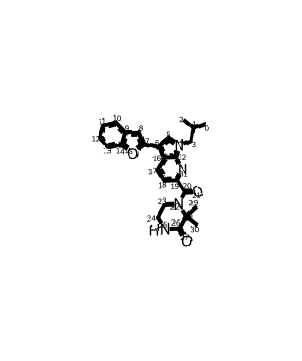 CC(C)Cn1cc(-c2cc3ccccc3o2)c2ccc(C(=O)N3CCNC(=O)C3(C)C)nc21